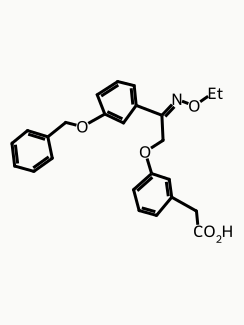 CCO/N=C(\COc1cccc(CC(=O)O)c1)c1cccc(OCc2ccccc2)c1